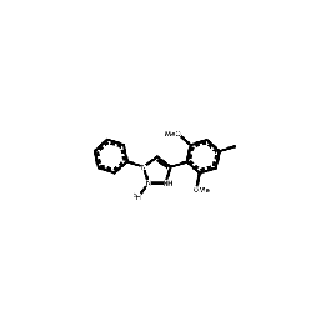 [2H]N1NC(c2c(OC)cc(C)cc2OC)=CN1c1ccccc1